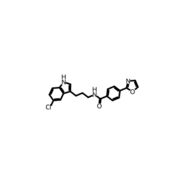 O=C(NCCCc1c[nH]c2ccc(Cl)cc12)c1ccc(-c2ncco2)cc1